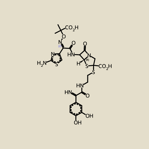 CC(C)(O/N=C(\C(=O)NC1C(=O)N2CC(SCCNC(=O)C(=N)c3ccc(O)c(O)c3)(C(=O)O)S[C@H]12)c1csc(N)n1)C(=O)O